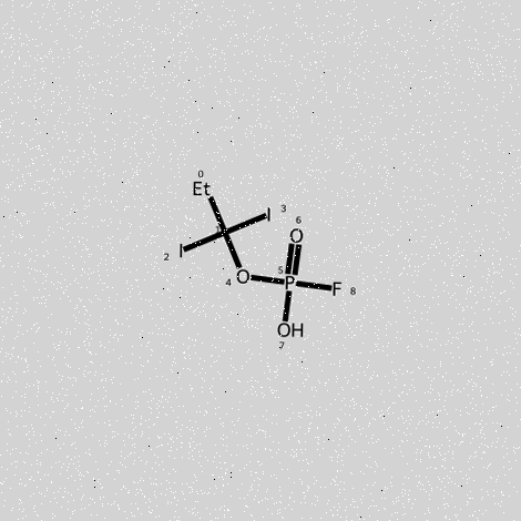 CCC(I)(I)OP(=O)(O)F